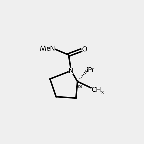 CNC(=O)N1CCC[C@@]1(C)C(C)C